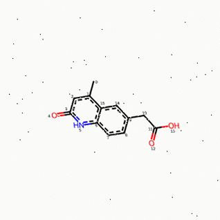 Cc1cc(=O)[nH]c2ccc(CC(=O)O)cc12